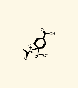 CC(=O)S(=O)(=O)C1([N+](=O)[O-])C=CC(C(=O)O)C=C1